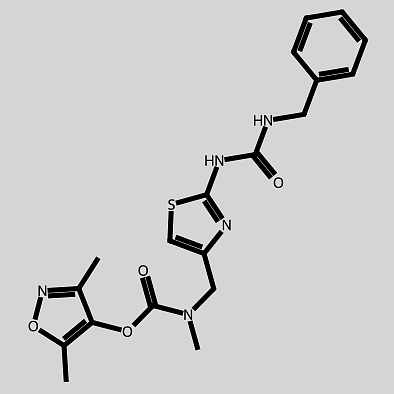 Cc1noc(C)c1OC(=O)N(C)Cc1csc(NC(=O)NCc2ccccc2)n1